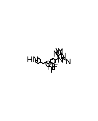 Cc1nc2c(-c3ccc(OCCC4CCNCC4)c(C(F)(F)F)c3)nc(C#N)nc2n1C